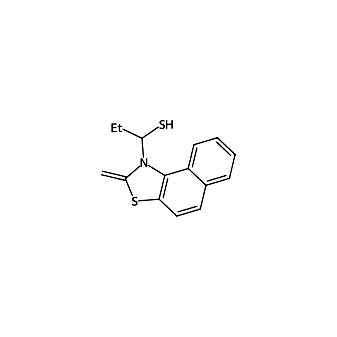 C=C1Sc2ccc3ccccc3c2N1C(S)CC